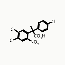 CC(C(=O)O)(c1ccc(Cl)cc1)c1cc(Cl)c(Cl)cc1[N+](=O)[O-]